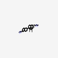 C/C=C/CC[C@@H]1CC[C@@H]2CC(C3CCc4cc(/C=C/C)ccc4C3)CCC2C1